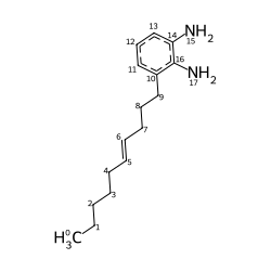 CCCCCC=CCCCc1cccc(N)c1N